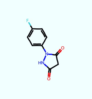 O=C1CC(=O)N(c2ccc(F)cc2)N1